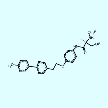 C[C@@](CO)(NC(=O)O)C(=O)Nc1ccc(OCCc2ccc(-c3ccc(C(F)(F)F)cc3)cc2)cc1